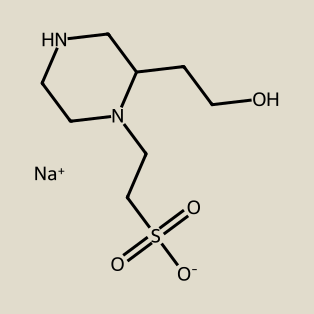 O=S(=O)([O-])CCN1CCNCC1CCO.[Na+]